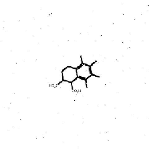 Cc1c(C)c(C)c2c(c1C)CCC(C(=O)O)C2C(=O)O